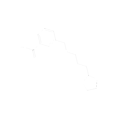 O=C(O)c1cccc(COCCCC2OCCO2)c1